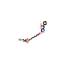 CC(CC(C)(C)C)C(C)(C)S(=O)(=O)CCCCCCCCCCOc1cc2oc(=O)c(-c3ccccc3)cc2cn1